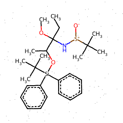 CCC(N[S+]([O-])C(C)(C)C)(OC)C(C)O[Si](c1ccccc1)(c1ccccc1)C(C)(C)C